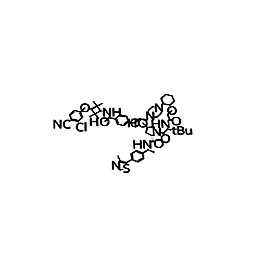 Cc1ncsc1-c1ccc([C@H](C)NC(=O)[C@@H]2C[C@@H](O)CN2C(=O)C(NC(=O)CO[C@H]2CCCC[C@@H]2N2CCN(CCOc3ccc(C(O)N[C@H]4C(C)(C)[C@H](Oc5ccc(C#N)c(Cl)c5)C4(C)C)cc3)CC2)C(C)(C)C)cc1